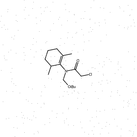 CC1=C(N(COCC(C)C)C(=O)CCl)C(C)CCC1